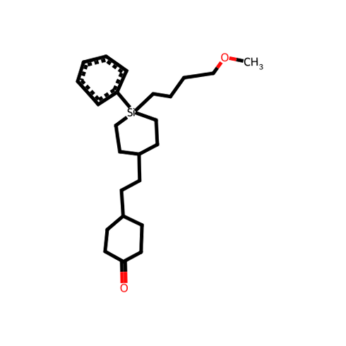 COCCCC[Si]1(c2ccccc2)CCC(CCC2CCC(=O)CC2)CC1